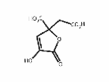 O=C(O)CC1(C(=O)O)C=C(O)C(=O)O1